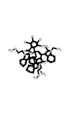 CCn1c(C)c(C(=CC2(C=C(c3c(C)n(CC)c4ccccc34)c3c(C)n(CCOC)c4ccccc34)OC(=O)c3c(Cl)c(Cl)c(Cl)c(Cl)c32)c2c(C)n(CCOC)c3ccccc23)c2ccccc21